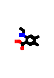 CCNC1C=C(C)C(C)=CC1C(=O)O